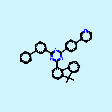 CC1(C)c2ccccc2-c2c(-c3nc(-c4ccc(-c5cccnc5)cc4)nc(-c4cccc(-c5ccccc5)c4)n3)cccc21